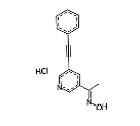 C/C(=N\O)c1cncc(C#Cc2ccccc2)c1.Cl